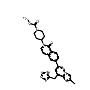 Cc1cn2nc(-c3ccc4c(=O)n(C5CCN(C(=O)OC(C)(C)C)CC5)ccc4c3)cc(Cc3nnn[nH]3)c2n1